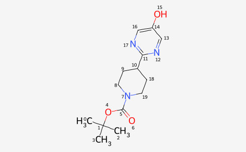 CC(C)(C)OC(=O)N1CCC(c2ncc(O)cn2)CC1